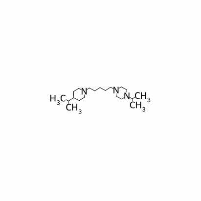 CC(C)C1CCN(CCCCCN2CCN(C(C)C)CC2)CC1